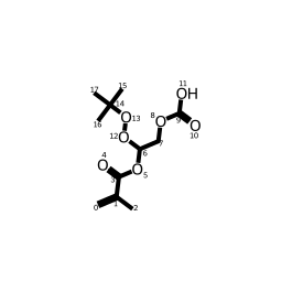 C=C(C)C(=O)OC(COC(=O)O)OOC(C)(C)C